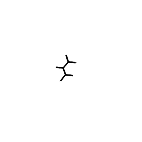 [CH2]C(C)C(C)C([CH2])C